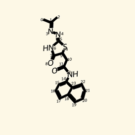 CC(C)=N/N=C1\NC(=O)C(CC(=O)Nc2cccc3ccccc23)S1